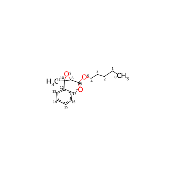 CCCCCOC(=O)C1OC1(C)c1ccccc1